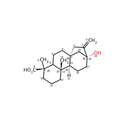 C=C1C[C@@]23CCC4[C@](C)(C(=O)O)CCC[C@@]4(C)[C@@H]2CC[C@@]1(O)C3